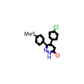 CSc1ccc(-c2n[nH]c(=O)cc2-c2ccc(Cl)cc2)cc1